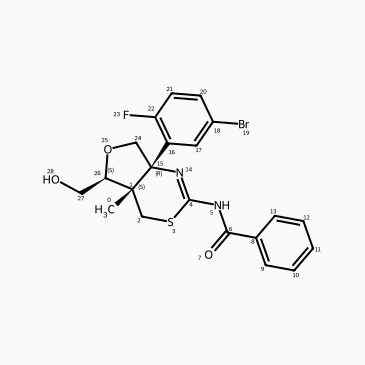 C[C@]12CSC(NC(=O)c3ccccc3)=N[C@@]1(c1cc(Br)ccc1F)CO[C@@H]2CO